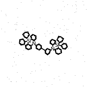 c1ccc([Si]2(c3ccccc3)c3ccccc3N(c3ccc(-c4cccc(N5c6ccccc6[Si](c6ccccc6)(c6ccccc6)c6ccccc65)c4)cc3)c3ccccc32)cc1